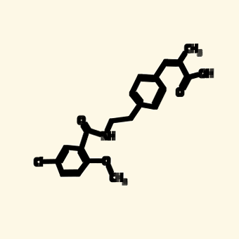 COc1ccc(Cl)cc1C(=O)NCCc1ccc(C=C(C)C(=O)O)cc1